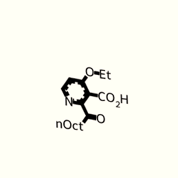 CCCCCCCCC(=O)c1nccc(OCC)c1C(=O)O